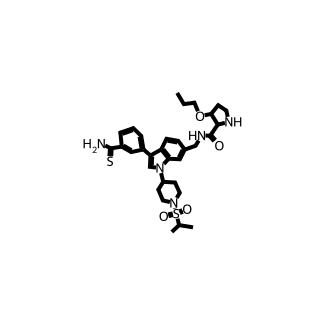 CCCOC1CCNC1C(=O)NCc1ccc2c(-c3cccc(C(N)=S)c3)cn(C3CCN(S(=O)(=O)C(C)C)CC3)c2c1